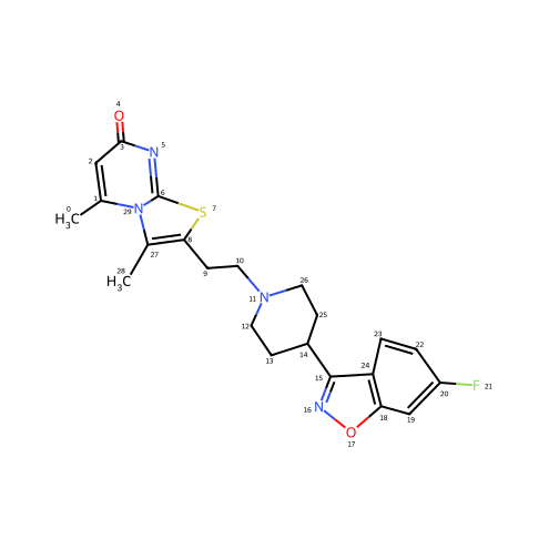 Cc1cc(=O)nc2sc(CCN3CCC(c4noc5cc(F)ccc45)CC3)c(C)n12